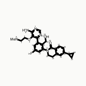 CNCCOc1c(N)ncnc1-c1cc(F)cc(N2CCc3cc(C4CC4)ccc3C2=O)c1CO